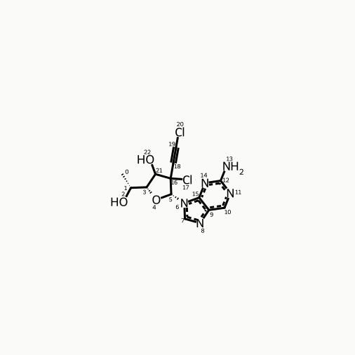 C[C@@H](O)[C@H]1O[C@@H](n2cnc3cnc(N)nc32)C(Cl)(C#CCl)C1O